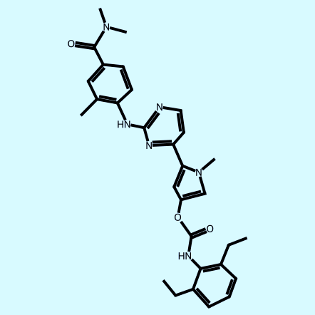 CCc1cccc(CC)c1NC(=O)Oc1cc(-c2ccnc(Nc3ccc(C(=O)N(C)C)cc3C)n2)n(C)c1